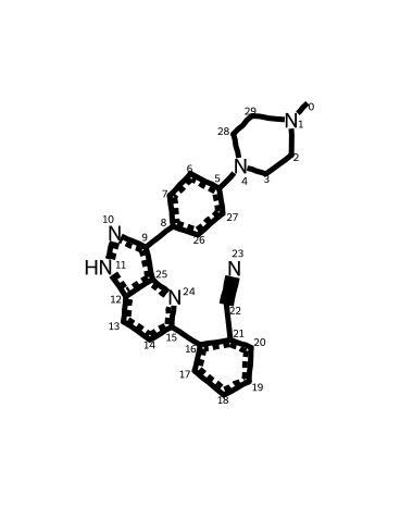 CN1CCN(c2ccc(-c3n[nH]c4ccc(-c5ccccc5C#N)nc34)cc2)CC1